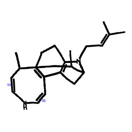 CC(C)=CCN1C2=C3CC1C(C)C1(C)/C=C\N/C=C\C3=C1CC2